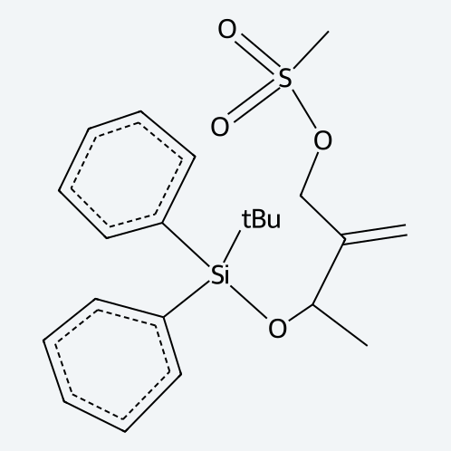 C=C(COS(C)(=O)=O)C(C)O[Si](c1ccccc1)(c1ccccc1)C(C)(C)C